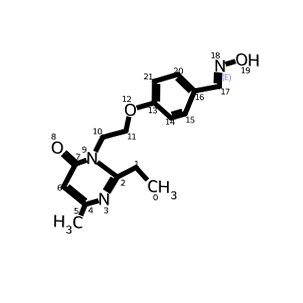 CCc1nc(C)cc(=O)n1CCOc1ccc(/C=N/O)cc1